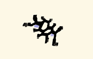 C#C/C(C#N)=c1\c(F)c(F)c2c(F)/c(=C(/C#N)CN)c(F)c(F)c2c1F